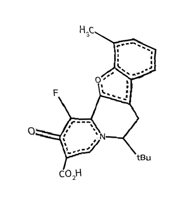 Cc1cccc2c3c(oc12)-c1c(F)c(=O)c(C(=O)O)cn1C(C(C)(C)C)C3